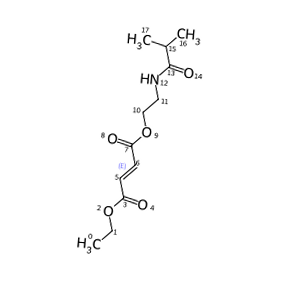 CCOC(=O)/C=C/C(=O)OCCNC(=O)C(C)C